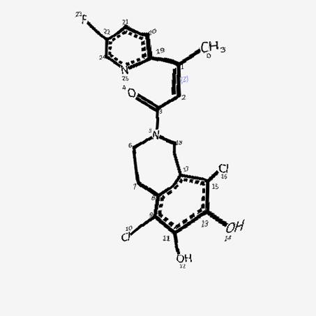 C/C(=C/C(=O)N1CCc2c(Cl)c(O)c(O)c(Cl)c2C1)c1ccc(F)cn1